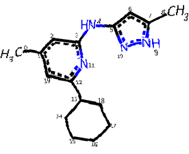 Cc1cc(Nc2cc(C)[nH]n2)nc(C2CCCCC2)c1